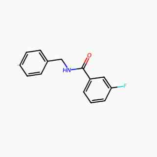 O=C(NCc1cc[c]cc1)c1cccc(F)c1